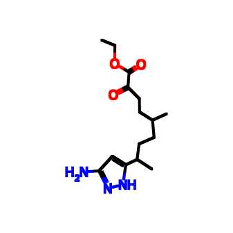 CCOC(=O)C(=O)CCC(C)CCC(C)c1cc(N)n[nH]1